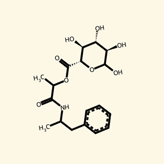 CC(Cc1ccccc1)NC(=O)C(C)OC(=O)[C@H]1OC(O)[C@H](O)[C@@H](O)[C@@H]1O